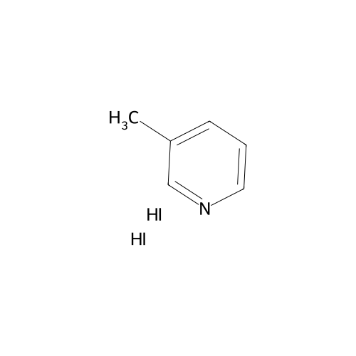 Cc1cccnc1.I.I